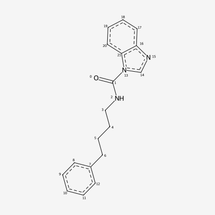 O=C(NCCCCc1ccccc1)n1cnc2ccccc21